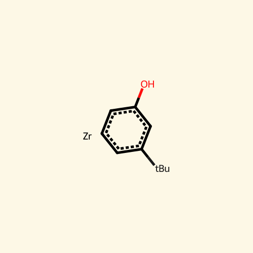 CC(C)(C)c1cccc(O)c1.[Zr]